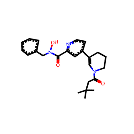 CC(C)(C)CC(=O)N1C=C(c2ccnc(C(=O)N(O)Cc3ccccc3)c2)CCC1